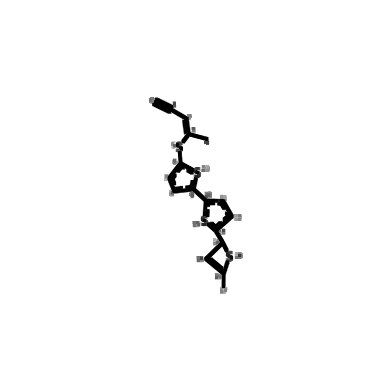 C#C/C=C(/C)Sc1ccc(-c2ccc(C3C=C(C)S3)s2)s1